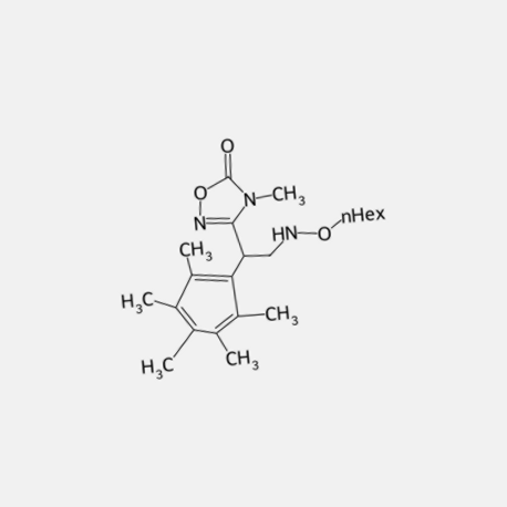 CCCCCCONCC(c1c(C)c(C)c(C)c(C)c1C)c1noc(=O)n1C